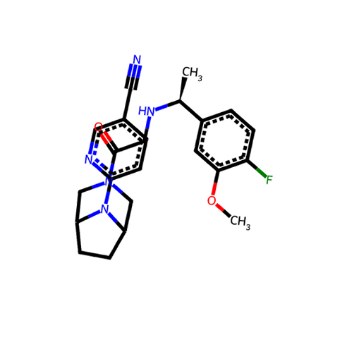 COc1cc([C@H](C)NCC(=O)N2CC3CCC(C2)N3c2ccc(C#N)cn2)ccc1F